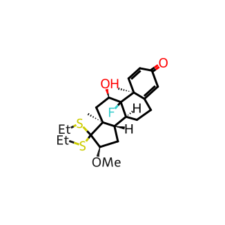 CCSC1(SCC)[C@H](OC)C[C@H]2[C@@H]3CCC4=CC(=O)C=C[C@]4(C)C3(F)[C@H](O)C[C@@]21C